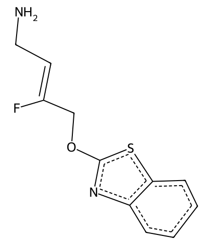 NCC=C(F)COc1nc2ccccc2s1